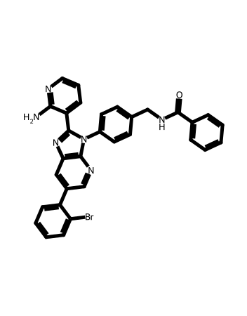 Nc1ncccc1-c1nc2cc(-c3ccccc3Br)cnc2n1-c1ccc(CNC(=O)c2ccccc2)cc1